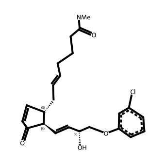 CNC(=O)CCCC=CC[C@H]1C=CC(=O)[C@@H]1C=C[C@@H](O)COc1cccc(Cl)c1